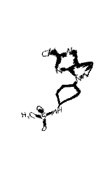 CS(=O)(=O)NC1CCC(n2ncc3cnc(Cl)nc32)CC1